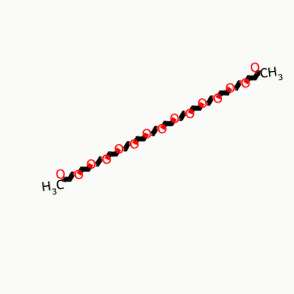 CC(=O)CCOCCOCCOCCOCCOCCOCCOCCOCCOCCOCCOCCOCCOCCC(C)=O